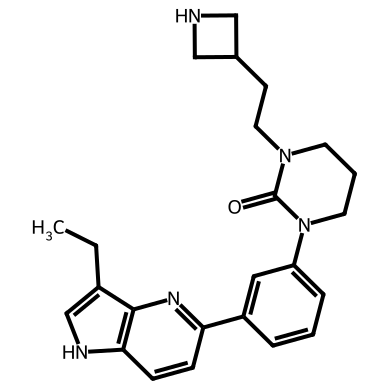 CCc1c[nH]c2ccc(-c3cccc(N4CCCN(CCC5CNC5)C4=O)c3)nc12